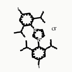 CC(C)c1cc(I)cc(C(C)C)c1-n1cc[n+](-c2c(C(C)C)cc(I)cc2C(C)C)c1.[Cl-]